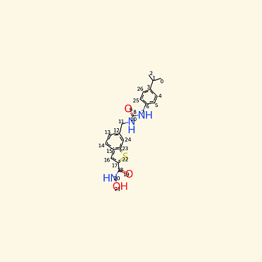 CC(C)c1ccc(NC(=O)NCc2ccc3cc(C(=O)NO)sc3c2)cc1